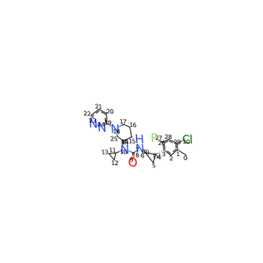 Cc1cc([C@@H]2C[C@H]2NC(=O)N(C2CC2)[C@@H]2CCCN(c3cccnn3)C2)c(F)cc1Cl